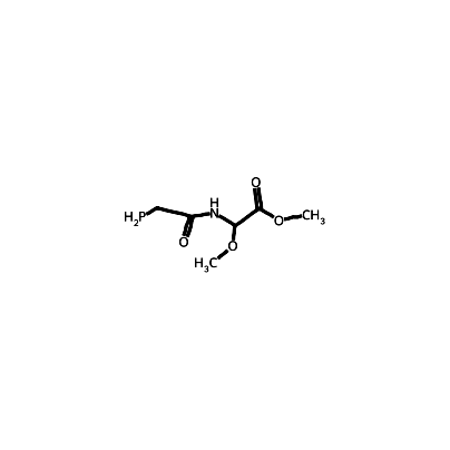 COC(=O)C(NC(=O)CP)OC